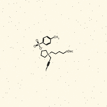 CCCCCCCCCCCCCC[N+]1(CC#CI)CCCC1.Cc1ccc(S(=O)(=O)[O-])cc1